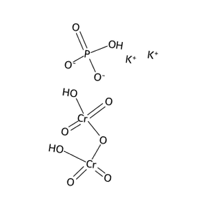 O=P([O-])([O-])O.[K+].[K+].[O]=[Cr](=[O])([OH])[O][Cr](=[O])(=[O])[OH]